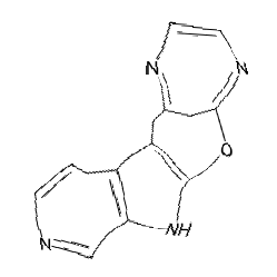 c1cc2c(cn1)[nH]c1oc3nccnc3c12